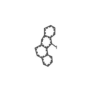 Ic1c2ccccc2cc2ccc3ccccc3c12